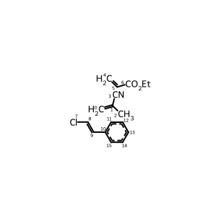 C=C(C)C#N.C=CC(=O)OCC.ClC=Cc1ccccc1